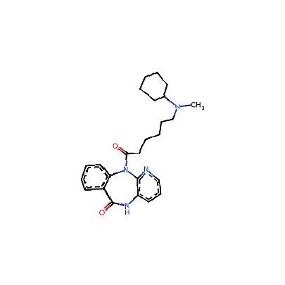 CN(CCCCCC(=O)N1c2ccccc2C(=O)Nc2cccnc21)C1CCCCC1